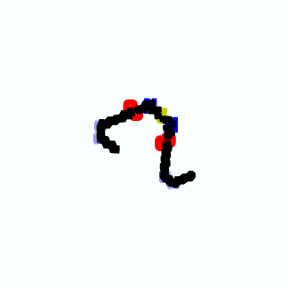 CCCCC/C=C\C/C=C\CCCCCCCC(=O)OCCCN(C)CCCSCCN(C)CCCOC(=O)CCCCCCC/C=C\C/C=C\CCCCC